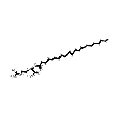 CCCCCCCCCCCCCCCCCCCCCC(=O)N[C@@H](CCCNC(=N)N)C(N)=O